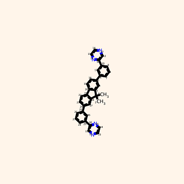 CC1(C)c2cc(-c3cccc(-c4cnccn4)c3)ccc2-c2ccc(-c3cccc(-c4cnccn4)c3)cc21